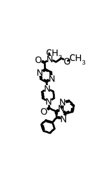 COCCN(C)C(=O)c1cnc(N2C=CN(C(=O)c3c(C4=CC=CCC4)nc4cccnn34)CC2)cn1